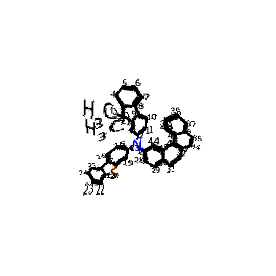 CC1(C)c2ccccc2-c2ccc(N(c3ccc4c(c3)sc3ccccc34)c3ccc4ccc5ccc6ccccc6c5c4c3)cc21